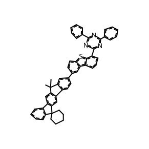 CC1(C)c2cc(-c3ccc4sc5c(-c6nc(-c7ccccc7)nc(-c7ccccc7)n6)cccc5c4c3)ccc2-c2cc3c(cc21)-c1ccccc1C31CCCCC1